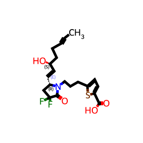 CC#CCC[C@H](O)/C=C/[C@H]1CC(F)(F)C(=O)N1CCCc1ccc(C(=O)O)s1